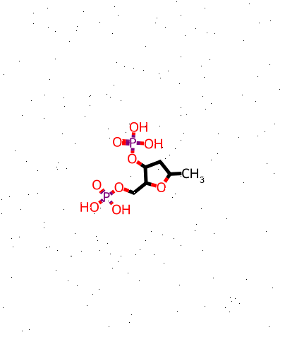 CC1CC(OP(=O)(O)O)C(COP(=O)(O)O)O1